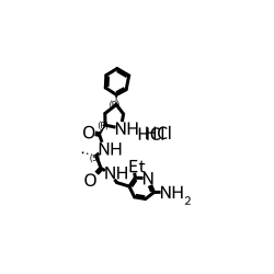 CCc1nc(N)ccc1CNC(=O)[C@H](C)NC(=O)[C@H]1C[C@H](c2ccccc2)CN1.Cl.Cl